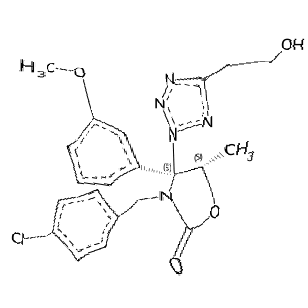 COc1cccc([C@]2(n3nnc(CCO)n3)[C@H](C)OC(=O)N2c2ccc(Cl)cc2)c1